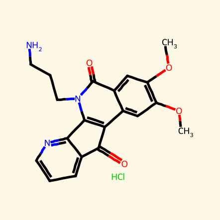 COc1cc2c3c(n(CCCN)c(=O)c2cc1OC)-c1ncccc1C3=O.Cl